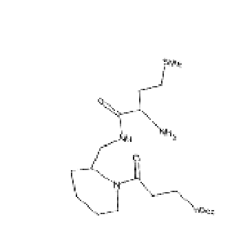 CCCCCCCCCCCCC(=O)N1CCCCC1CNC(=O)C(N)CCSC